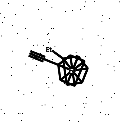 C#C[C]12[CH]3[CH]4[CH]5[CH]1[Fe]45321678[CH]2[CH]1[CH]6[C]7(CC)[CH]28